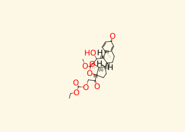 CCOC(=O)OCC(=O)[C@@]1(OC(=O)OC)CC[C@H]2[C@@H]3CCC4=CC(=O)C=C[C@]4(C)[C@H]3C(O)C[C@@]21C